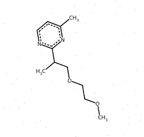 COCCOCC(C)c1nccc(C)n1